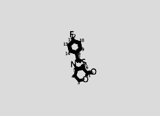 O=C1OCCc2nc(-c3ccc(F)cc3)sc21